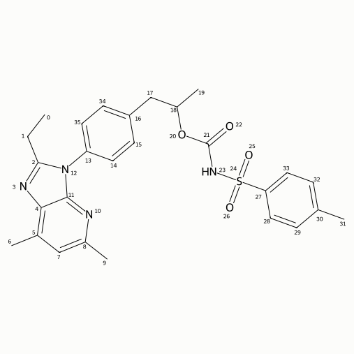 CCc1nc2c(C)cc(C)nc2n1-c1ccc(CC(C)OC(=O)NS(=O)(=O)c2ccc(C)cc2)cc1